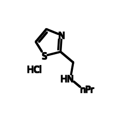 CCCNCc1nccs1.Cl